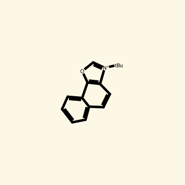 CC(C)(C)[n+]1coc2c3ccccc3ccc21